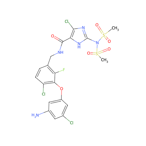 CS(=O)(=O)N(c1nc(Cl)c(C(=O)NCc2ccc(Cl)c(Oc3cc(N)cc(Cl)c3)c2F)[nH]1)S(C)(=O)=O